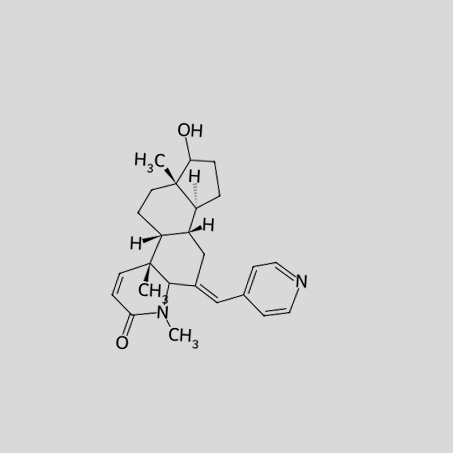 CN1C(=O)C=C[C@@]2(C)C1C(=Cc1ccncc1)C[C@@H]1[C@H]2CC[C@]2(C)C(O)CC[C@@H]12